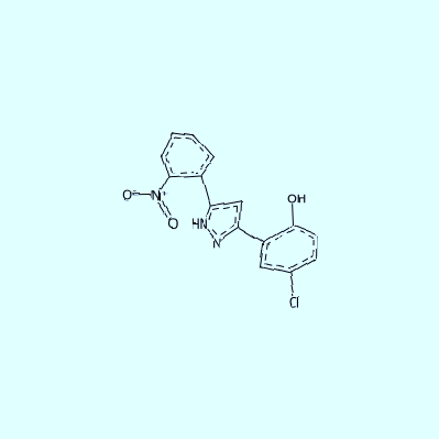 O=[N+]([O-])c1ccccc1-c1cc(-c2cc(Cl)ccc2O)n[nH]1